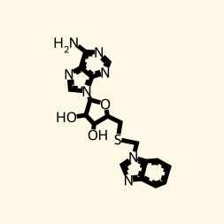 Nc1ncnc2c1ncn2C1OC(CSCn2cnc3ccccc32)C(O)C1O